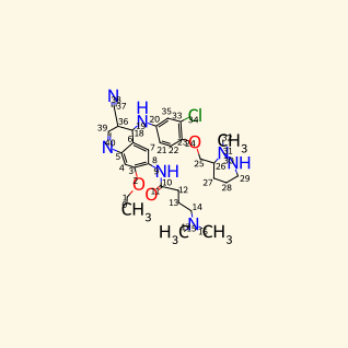 CCOc1cc2c(cc1NC(=O)CCCN(C)C)C(Nc1ccc(OCC3CCCNN3C)c(Cl)c1)C(C#N)C=N2